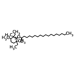 CCCCCCCCCCCCCCCCCC(=O)ON1C(C)(CC)CCC(C)C1(C)CC